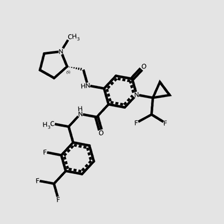 CC(NC(=O)c1cn(C2(C(F)F)CC2)c(=O)cc1NC[C@@H]1CCCN1C)c1cccc(C(F)F)c1F